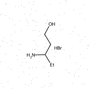 Br.CCC(N)CCO